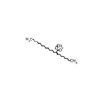 CCCCCCCC=C(CCCCCCCCCCCCC)C(=O)OC